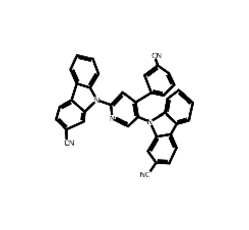 N#Cc1cccc(-c2cc(-n3c4ccccc4c4ccc(C#N)cc43)ncc2-n2c3ccccc3c3ccc(C#N)cc32)c1